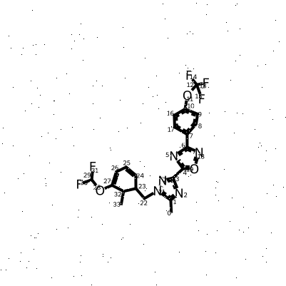 Cc1nc(-c2nc(-c3ccc(OC(F)(F)F)cc3)no2)nn1CC1C=CC=C(OC(F)F)C1C